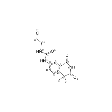 CC1(C)C(=O)NC(=O)c2cc(NC(=O)NCCCl)ccc21